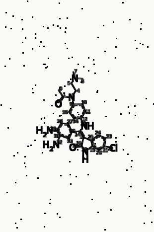 CC(=O)N(CCN(C)C)c1ccc(NC(=C2C(=O)Nc3cc(Cl)ccc32)c2ccc(N)c(N)c2)cc1